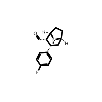 CN1[C@H]2CC[C@@H]1[C@@H](C=O)[C@@H](c1ccc(F)cc1)C2